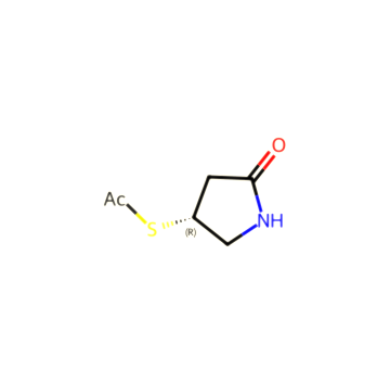 CC(=O)S[C@H]1CNC(=O)C1